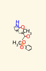 C[C@@H](C[C@@H]1CCNC1=O)C(=O)COP(C)(=O)c1ccccc1